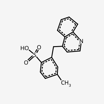 Cc1ccc(S(=O)(=O)O)c(Cc2ccnc3ccccc23)c1